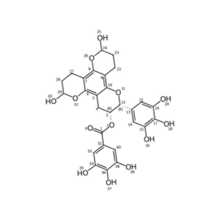 O=C(O[C@@H]1Cc2c3c(c4c(c2O[C@@H]1c1cc(O)c(O)c(O)c1)CCC(O)O4)CCC(O)O3)c1cc(O)c(O)c(O)c1